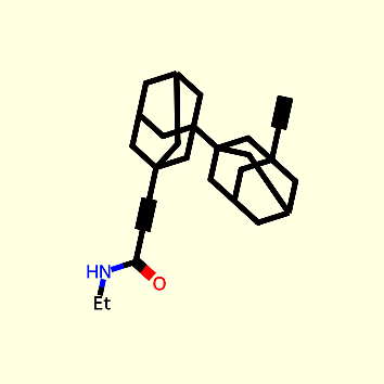 C#CC12CC3CC(C1)CC(C14CC5CC(CC(C#CC(=O)NCC)(C5)C1)C4)(C3)C2